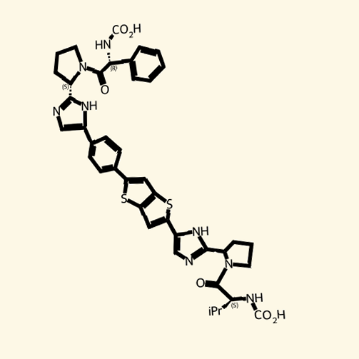 CC(C)[C@H](NC(=O)O)C(=O)N1CCCC1c1ncc(-c2cc3sc(-c4ccc(-c5cnc([C@@H]6CCCN6C(=O)[C@H](NC(=O)O)c6ccccc6)[nH]5)cc4)cc3s2)[nH]1